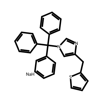 [NaH].c1ccc(C(c2ccccc2)(c2ccccc2)n2cnc(Cc3cccs3)c2)cc1